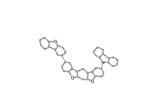 c1ccc2c(c1)oc1ccc(-c3ccc4oc5cc6oc7ccc(-n8c9ccccc9c9ccccc98)cc7c6cc5c4c3)cc12